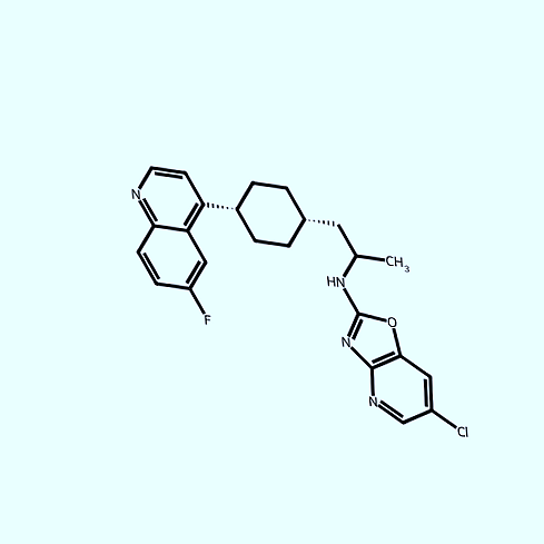 CC(C[C@H]1CC[C@@H](c2ccnc3ccc(F)cc32)CC1)Nc1nc2ncc(Cl)cc2o1